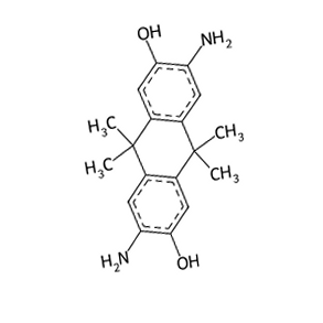 CC1(C)c2cc(N)c(O)cc2C(C)(C)c2cc(N)c(O)cc21